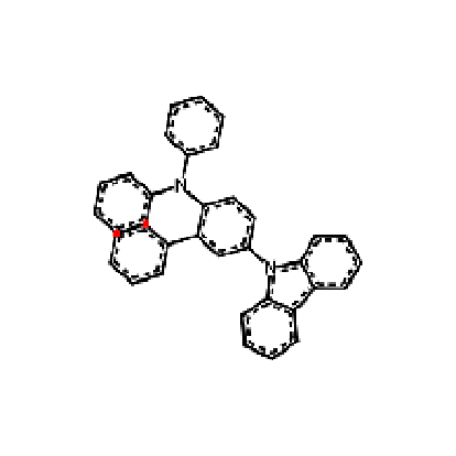 c1ccc(-c2cc(-n3c4ccccc4c4ccccc43)ccc2N(c2ccccc2)c2ccccc2)cc1